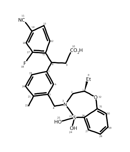 CC[C@@H]1CN(Cc2cc(C(CC(=O)O)c3ccc(C#N)cc3F)ccc2C)S(O)(O)c2ccccc2O1